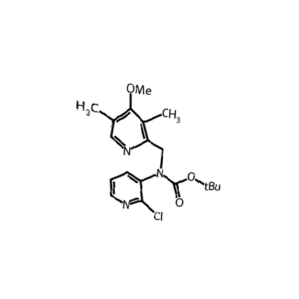 COc1c(C)cnc(CN(C(=O)OC(C)(C)C)c2cccnc2Cl)c1C